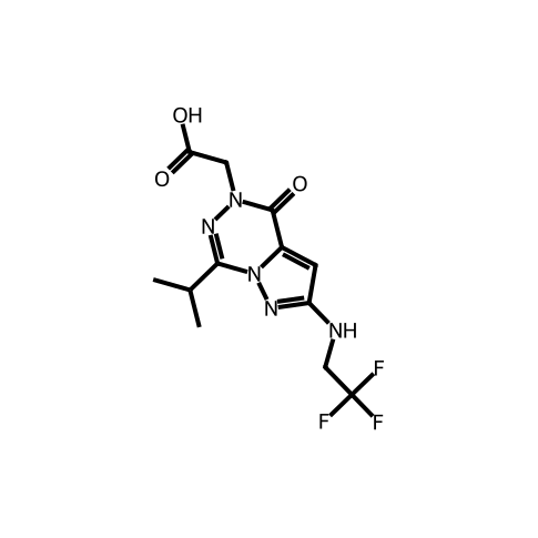 CC(C)c1nn(CC(=O)O)c(=O)c2cc(NCC(F)(F)F)nn12